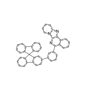 c1cc(-c2ccc3c(c2)C2(c4ccccc4-c4ccccc42)c2ccccc2-3)cc(-c2nc3c(nc4ccccn43)c3ccccc23)c1